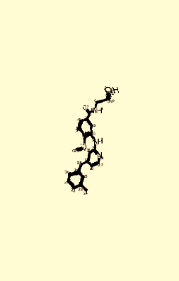 COc1ccc(C(=O)NCCO)cc1Nc1cc(Cc2cccc(C)c2)ccn1